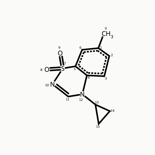 Cc1ccc2c(c1)S(=O)(=O)N=CN2C1CC1